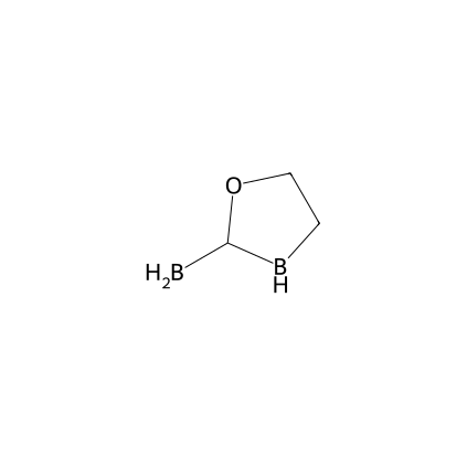 BC1BCCO1